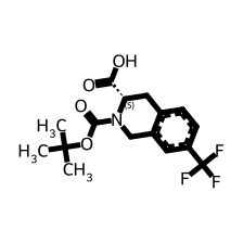 CC(C)(C)OC(=O)N1Cc2cc(C(F)(F)F)ccc2C[C@H]1C(=O)O